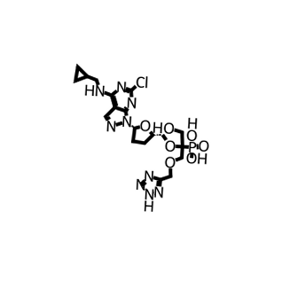 O=P(O)(O)C(CO)(COCc1nn[nH]n1)OC[C@@H]1CC[C@H](n2ncc3c(NCC4CC4)nc(Cl)nc32)O1